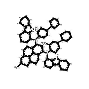 Cc1cc(-c2ccccc2)ccc1N(c1cc(N(c2ccc(-c3ccccc3)cc2C)c2cccc3c2oc2ccccc23)c2ccc3cc(C(C)C)cc4ccc1c2c43)c1cccc2c1oc1ccccc12